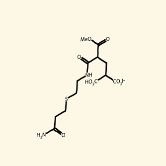 COC(=O)C(CC(C(=O)O)C(=O)O)C(=O)NCCSCCC(N)=O